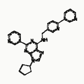 c1cncc(-c2ccc(CNc3nc(-c4cccnc4)nc4c3ncn4C3CCCC3)cn2)c1